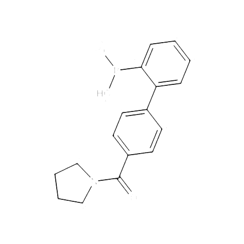 O=C(c1ccc(-c2ccccc2B(O)O)cc1)N1CCCC1